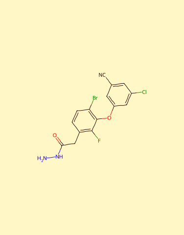 N#Cc1cc(Cl)cc(Oc2c(Br)ccc(CC(=O)NN)c2F)c1